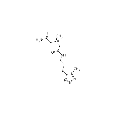 C[C@@H]([CH]C(=O)NCCSc1nnnn1C)CC(N)=O